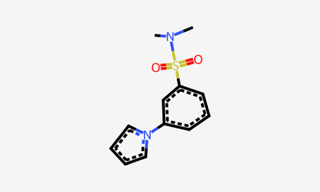 CN(C)S(=O)(=O)c1cccc(-n2cccc2)c1